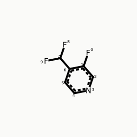 Fc1cnccc1C(F)F